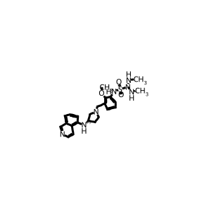 CNN(NC)S(=O)(=O)Nc1cccc(CN2CC[C@@H](Nc3cccc4cnccc34)C2)c1OC